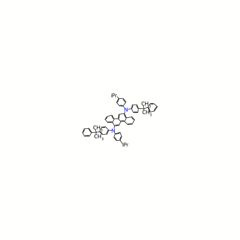 CC(C)c1ccc(N(c2ccc(C(C)(C)c3ccccc3)cc2)c2cc3c4ccccc4c(N(c4ccc(C(C)C)cc4)c4ccc(C(C)(C)c5ccccc5)cc4)cc3c3ccccc23)cc1